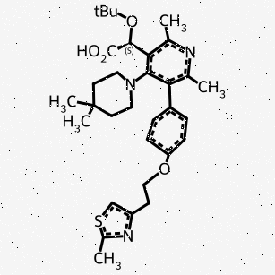 Cc1nc(CCOc2ccc(-c3c(C)nc(C)c([C@H](OC(C)(C)C)C(=O)O)c3N3CCC(C)(C)CC3)cc2)cs1